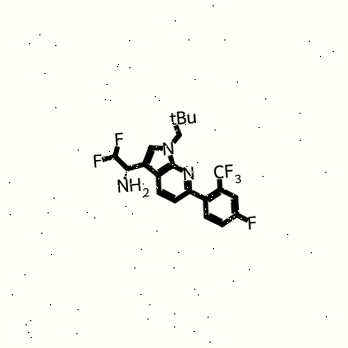 CC(C)(C)Cn1cc([C@H](N)C(F)F)c2ccc(-c3ccc(F)cc3C(F)(F)F)nc21